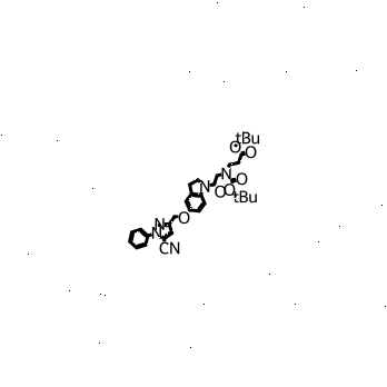 CC(C)(C)OC(=O)CCN(CC(=O)N1CCc2cc(OCc3cc(C#N)n(-c4ccccc4)n3)ccc21)C(=O)OC(C)(C)C